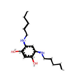 CCCCCNc1cc(NCCCCC)c(O)cc1O